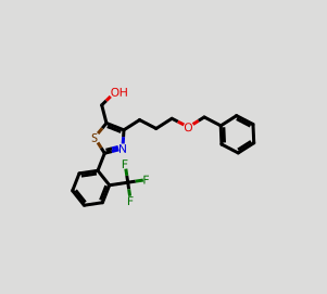 OCc1sc(-c2ccccc2C(F)(F)F)nc1CCCOCc1ccccc1